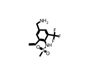 C=Cc1cc(CN)cc(C(F)(F)F)c1NS(C)(=O)=O